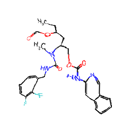 CCC(C[C@@H](COC(=O)Nc1cc2ccccc2cn1)N(C)C(=O)NCc1cccc(F)c1F)OC=O